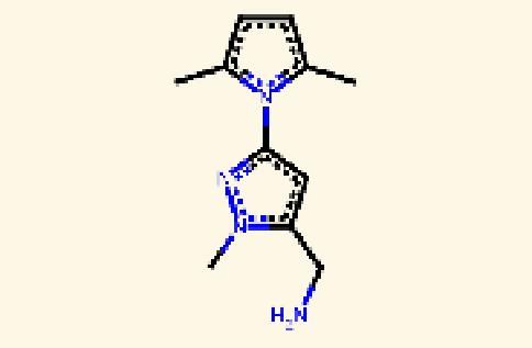 Cc1ccc(C)n1-c1cc(CN)n(C)n1